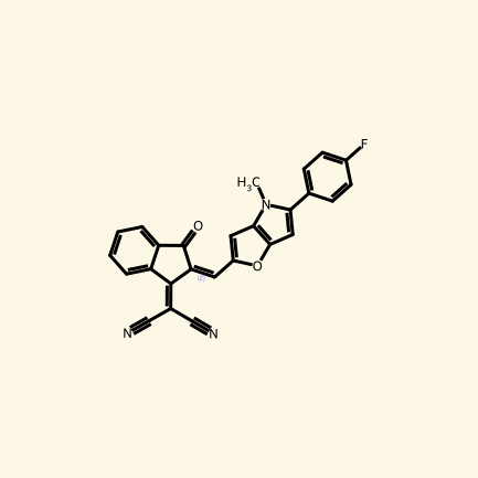 Cn1c(-c2ccc(F)cc2)cc2oc(/C=C3\C(=O)c4ccccc4C3=C(C#N)C#N)cc21